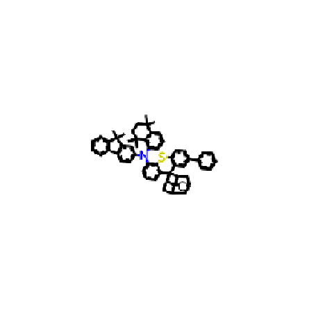 CC1(C)CCC(C)(C)c2c(N(c3ccc4c(c3)C(C)(C)c3ccccc3-4)c3cccc4c3Sc3ccc(-c5ccccc5)cc3C43C4CC5CC6CC3C64C5)cccc21